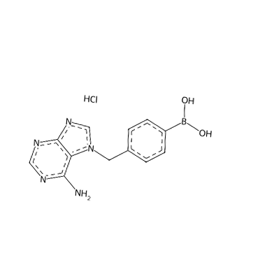 Cl.Nc1ncnc2ncn(Cc3ccc(B(O)O)cc3)c12